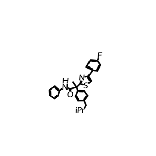 CC(C)Cc1ccc(C(C)(C(=O)Nc2ccccc2)c2nc(-c3ccc(F)cc3)cs2)cc1